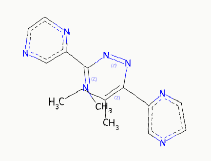 CC\C(C)=C(/N=N\C(=N/C)c1cnccn1)c1cnccn1